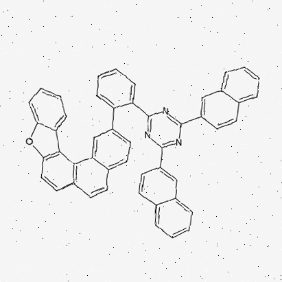 c1ccc(-c2nc(-c3ccc4ccccc4c3)nc(-c3ccc4ccccc4c3)n2)c(-c2ccc3ccc4ccc5oc6ccccc6c5c4c3c2)c1